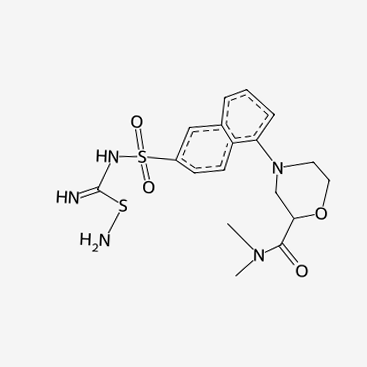 CN(C)C(=O)C1CN(c2cccc3cc(S(=O)(=O)NC(=N)SN)ccc23)CCO1